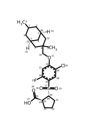 CC1C[C@@H]2C[C@H](C1)CC(C)(COc1cc(F)c(S(=O)(=O)[C@@H]3CCC[C@H]3C(=O)O)cc1Cl)C2